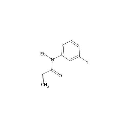 C=CC(=O)N(CC)c1cccc(I)c1